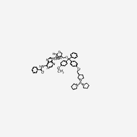 COc1ccc(C(OCC23CO[C@@H]([C@H](n4cnc5c(NC(=O)c6ccccc6)ncnc54)O2)[C@@H]3O)(c2ccccc2)c2ccc(OCC3CCN(P(N4CCCC4)N4CCCC4)C3)cc2)cc1